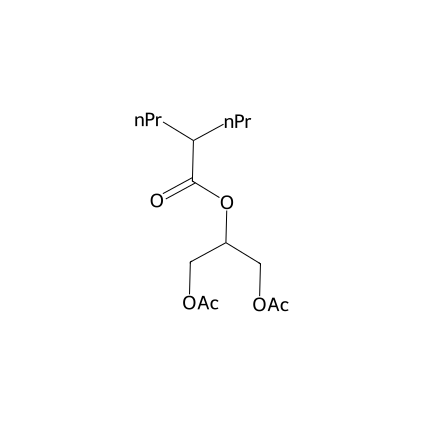 CCCC(CCC)C(=O)OC(COC(C)=O)COC(C)=O